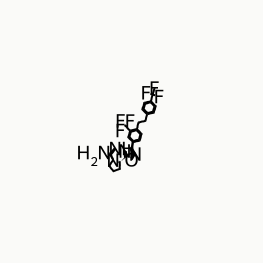 N=C(N)N1CCC[C@H]1c1nc(-c2ccc(CCc3ccc(C(F)(F)F)cc3)c(C(F)(F)F)c2)no1